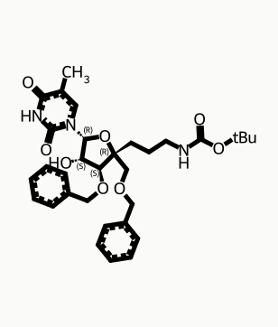 Cc1cn([C@@H]2O[C@](CCCNC(=O)OC(C)(C)C)(COCc3ccccc3)[C@@H](OCc3ccccc3)[C@@H]2O)c(=O)[nH]c1=O